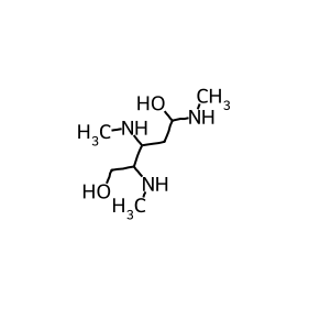 CNC(O)CC(NC)C(CO)NC